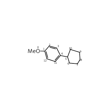 COc1ccc(C2CC[CH]CC2)cc1